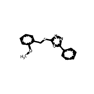 COc1ccccc1CSc1nnc(-c2ccccc2)o1